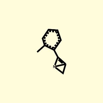 Cc1ccccc1C1=C2CN21